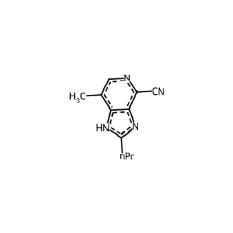 CCCc1nc2c(C#N)ncc(C)c2[nH]1